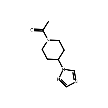 CC(=O)N1CCC(n2cncn2)CC1